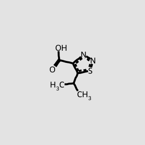 CC(C)c1snnc1C(=O)O